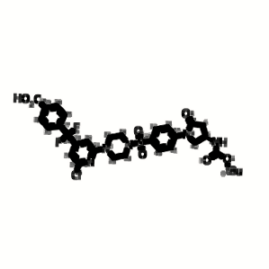 CC(C)(C)OC(=O)N[C@@H]1CC(=O)N(c2ccc(S(=O)(=O)N3CCN(c4cc(C(F)(F)c5ccc(C(=O)O)cc5)cc(Cl)n4)CC3)cc2)C1